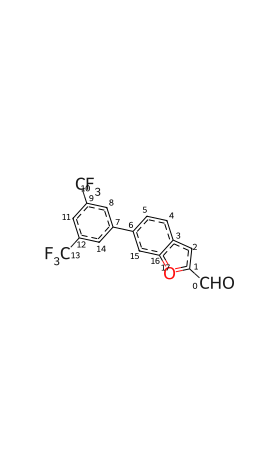 O=Cc1cc2ccc(-c3cc(C(F)(F)F)cc(C(F)(F)F)c3)cc2o1